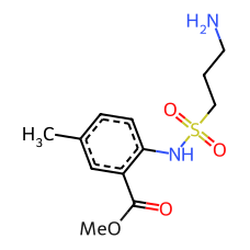 COC(=O)c1cc(C)ccc1NS(=O)(=O)CCCN